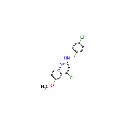 COc1ccc2nc(NCc3ccc(Cl)cc3)cc(Cl)c2c1